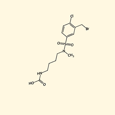 CN(CCCCNC(=O)O)S(=O)(=O)c1ccc(Cl)c(CBr)c1